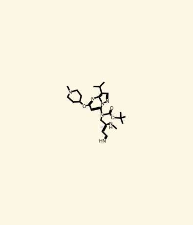 CN/C(=C\C=N)CN(C(=O)OC(C)(C)C)c1cc(OC2CCN(C)CC2)nc2c(C(C)C)cnn12